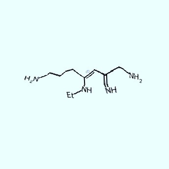 CCN/C(=C\C(=N)CN)CCCN